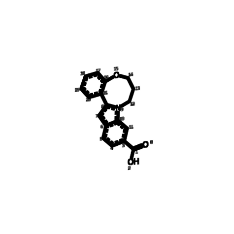 O=C(O)c1ccc2cc3n(c2c1)CCCOc1ccccc1-3